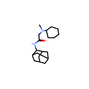 CN(CC(=O)NC1C2CC3CC(C2)CC1C3)C1CCCCC1